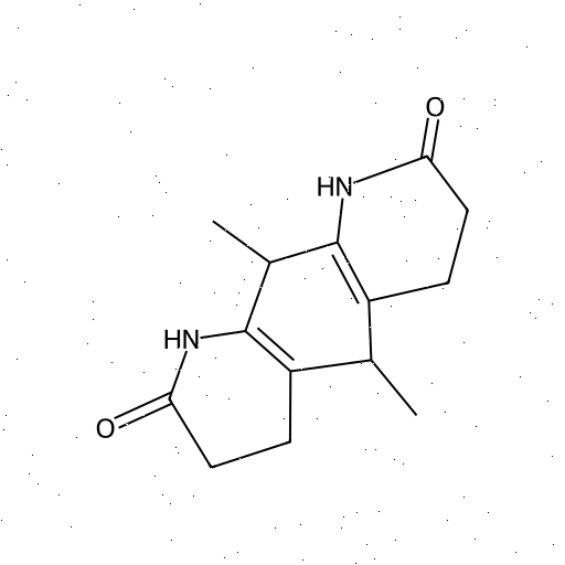 CC1C2=C(NC(=O)CC2)C(C)C2=C1CCC(=O)N2